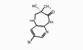 C[C@]1(C#N)CNc2cc(Br)cnc2NC1=O